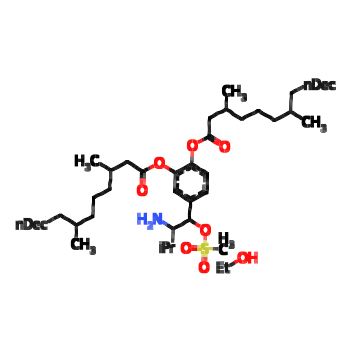 CCCCCCCCCCCC(C)CCCC(C)CC(=O)Oc1ccc(C(OS(C)(=O)=O)C(N)C(C)C)cc1OC(=O)CC(C)CCCC(C)CCCCCCCCCCC.CCO